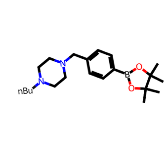 CCCCN1CCN(Cc2ccc(B3OC(C)(C)C(C)(C)O3)cc2)CC1